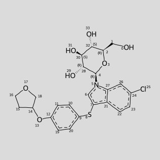 OC[C@H]1O[C@@H](n2cc(Sc3ccc(OC4CCOC4)cc3)c3ccc(Cl)cc32)[C@H](O)[C@@H](O)[C@@H]1O